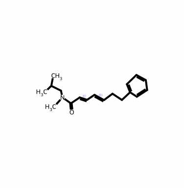 CC(C)CN(C)C(=O)/C=C/C=C/CCc1ccccc1